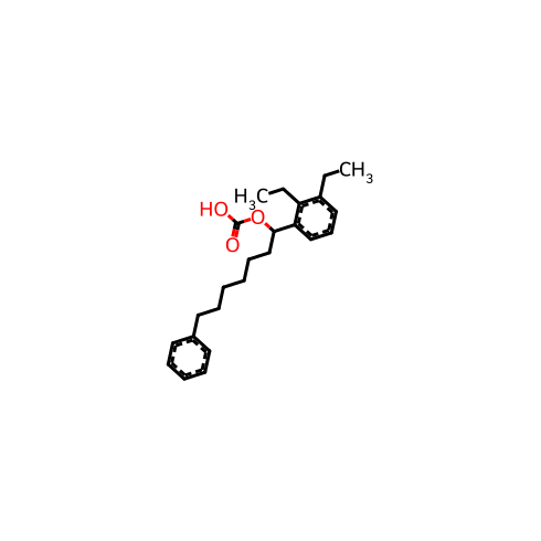 CCc1cccc(C(CCCCCCc2ccccc2)OC(=O)O)c1CC